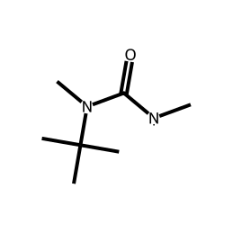 C[N]C(=O)N(C)C(C)(C)C